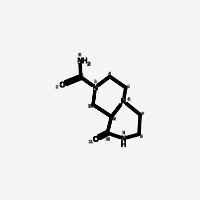 NC(=O)N1CCN2CCNC(=O)C2C1